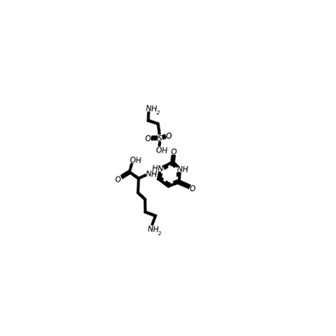 NCCCCC(N)C(=O)O.NCCS(=O)(=O)O.O=c1cc[nH]c(=O)[nH]1